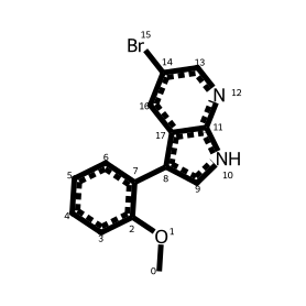 COc1ccccc1-c1c[nH]c2ncc(Br)cc12